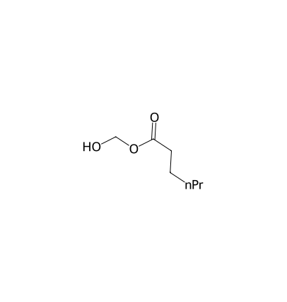 CCCCCC(=O)OCO